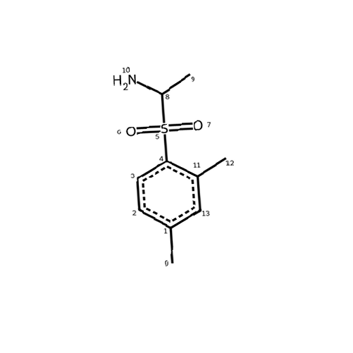 Cc1ccc(S(=O)(=O)C(C)N)c(C)c1